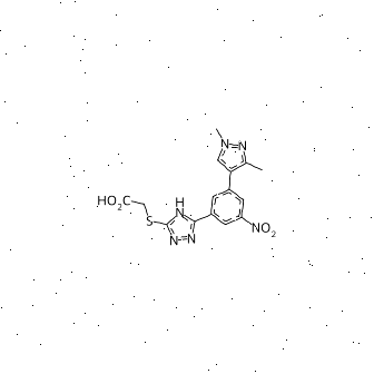 Cc1nn(C)cc1-c1cc(-c2nnc(SCC(=O)O)[nH]2)cc([N+](=O)[O-])c1